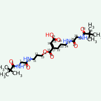 CC(C)(C)C(=O)NCC(=O)NCCCOC(=O)C(=CC(=O)O)CCCNC(=O)CNC(=O)C(C)(C)C